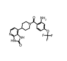 Nc1cc(OC(F)(F)F)ccc1C(=O)N1CCC(c2ccnc3[nH]c(=O)[nH]c23)CC1